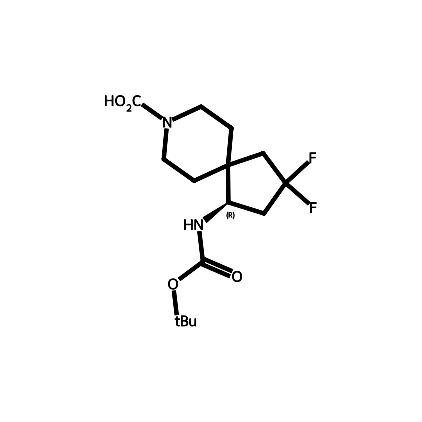 CC(C)(C)OC(=O)N[C@@H]1CC(F)(F)CC12CCN(C(=O)O)CC2